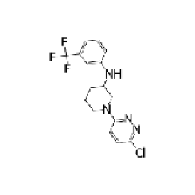 FC(F)(F)c1cccc(NC2CCCN(c3ccc(Cl)nn3)C2)c1